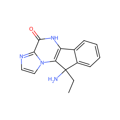 CCC1(N)c2ccccc2-c2[nH]c(=O)c3nccn3c21